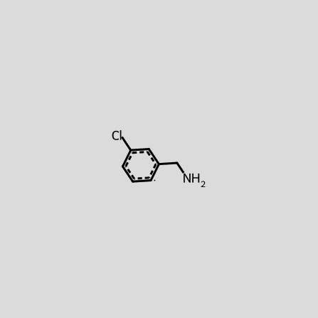 NCc1[c]ccc(Cl)c1